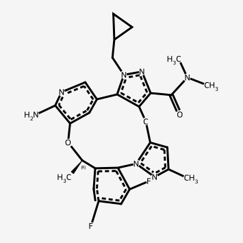 Cc1cc2n(n1)-c1c(F)cc(F)cc1[C@@H](C)Oc1cc(cnc1N)-c1c(c(C(=O)N(C)C)nn1CC1CC1)C2